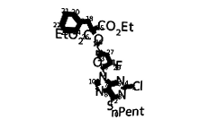 CCCCCSc1nc(Cl)nc2c1ncn2[C@@H]1O[C@H](COC(Cc2ccccc2)(C(=O)OCC)C(=O)OCC)C[C@@H]1F